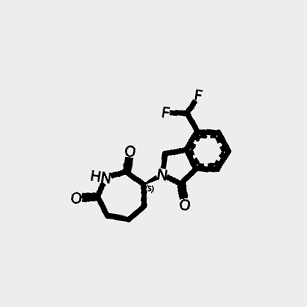 O=C1CCC[C@H](N2Cc3c(cccc3C(F)F)C2=O)C(=O)N1